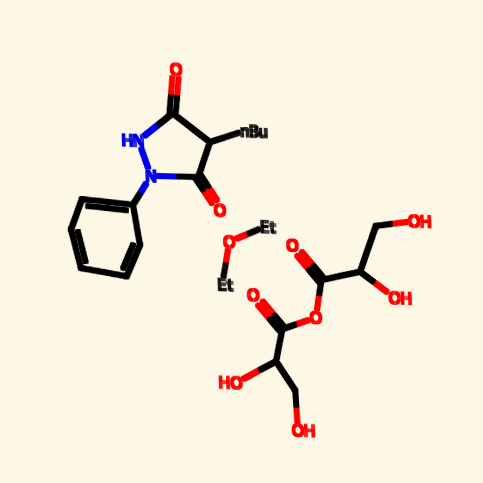 CCCCC1C(=O)NN(c2ccccc2)C1=O.CCOCC.O=C(OC(=O)C(O)CO)C(O)CO